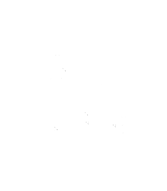 CS(=O)(=O)N1CCc2c(c(-c3ccc(Cl)c(C#CCN4C(=O)c5ccccc5C4=O)c3)nn2CCCN2CCOCC2)C1